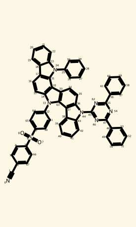 N#Cc1ccc(S(=O)(=O)c2ccc(-n3c4ccc5c6ccccc6n(-c6ccccc6)c5c4c4ccc5c(c6ccccc6n5-c5nc(-c6ccccc6)nc(-c6ccccc6)n5)c43)cc2)cc1